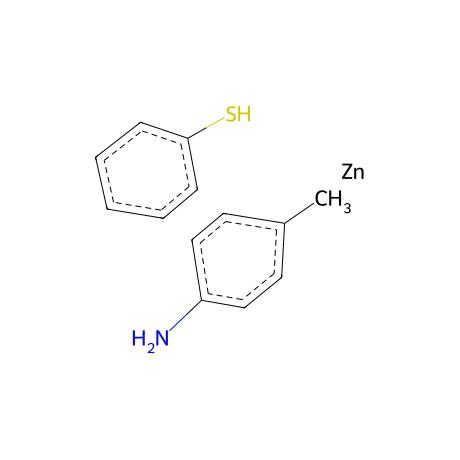 Cc1ccc(N)cc1.Sc1ccccc1.[Zn]